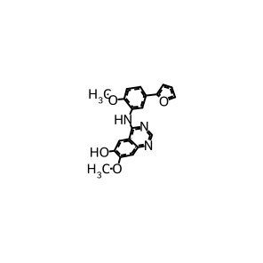 COc1cc2ncnc(Nc3cc(-c4ccco4)ccc3OC)c2cc1O